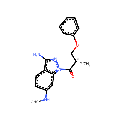 C[C@@H](COc1ccccc1)C(=O)n1nc(N)c2ccc(NC=O)cc21